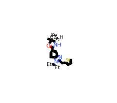 CCC(CC)n1c(Cc2cccs2)nc2cc(C(=O)N[C@@H](CC(C)C)C(C)(C)C(=O)O)ccc21